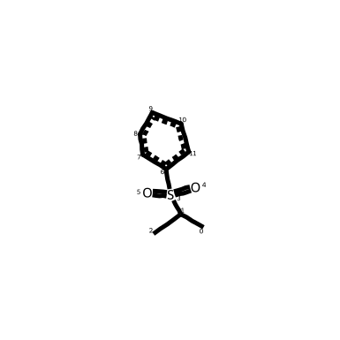 CC(C)S(=O)(=O)c1c[c]ccc1